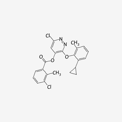 Cc1cccc(C2CC2)c1Oc1nnc(Cl)cc1OC(=O)c1cccc(Cl)c1C